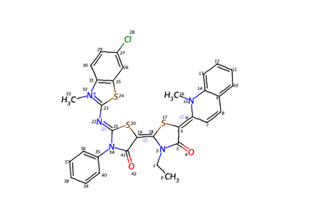 CCn1c(=O)/c(=C2\C=Cc3ccccc3N2C)s/c1=C1\S/C(=N\c2sc3cc(Cl)ccc3[n+]2C)N(c2ccccc2)C1=O